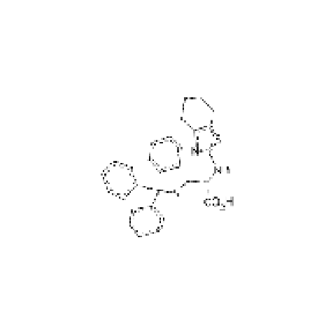 O=C(O)[C@H](CSC(c1ccccc1)(c1ccccc1)c1ccccc1)Nc1nc2c(s1)CCCC2